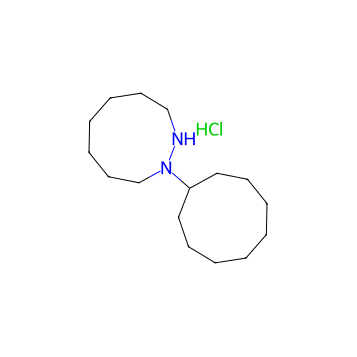 C1CCCCC(N2CCCCCCCN2)CCC1.Cl